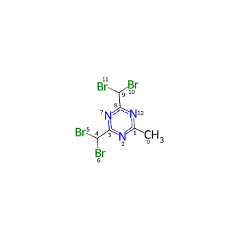 Cc1nc(C(Br)Br)nc(C(Br)Br)n1